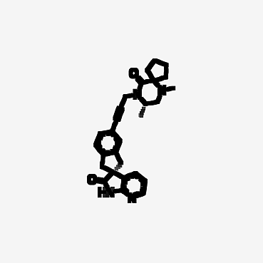 C[C@H]1CN(C)C2(CCCC2)C(=O)N1CC#Cc1ccc2c(c1)C[C@@]1(C2)C(=O)Nc2ncccc21